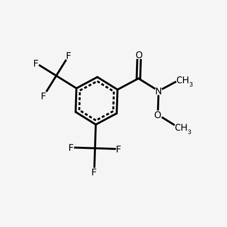 CON(C)C(=O)c1cc(C(F)(F)F)cc(C(F)(F)F)c1